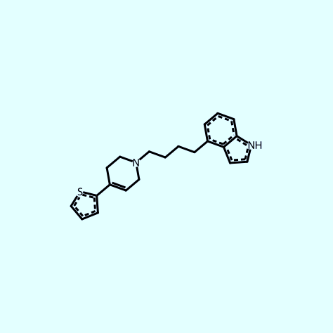 C1=C(c2cccs2)CCN(CCCCc2cccc3[nH]ccc23)C1